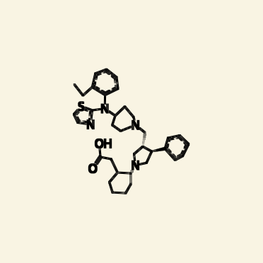 CCc1ccccc1N(c1nccs1)C1CCN(C[C@H]2CN([C@@H]3CCCCC3CC(=O)O)C[C@@H]2c2ccccc2)CC1